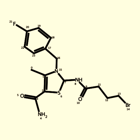 CC1=C(C(N)=O)SC(NC(=O)CCCBr)N1Cc1ccc(F)cc1